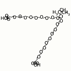 CC(C)(C)c1ccc(OCCOCCOCCOCCOCCOCCOCCOCCOCCCS(=O)(=O)O)c(OCCOCCOCCOCCOCCOCCOCCOCCOCCCS(=O)(=O)O)c1